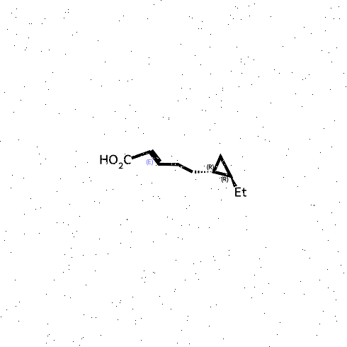 CC[C@@H]1C[C@H]1CC/C=C/C(=O)O